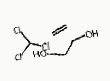 C=C.ClC(Cl)Cl.OCCO